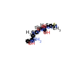 Cc1ncsc1-c1ccc(C(C)NC(=O)[C@@H]2C[C@@H](O)CN2C(=O)C(NC(=O)CN2CCC(N(C)c3ccc(-c4cc(-c5ccccc5O)nnc4N)cc3)CC2)C(C)(C)C)cc1